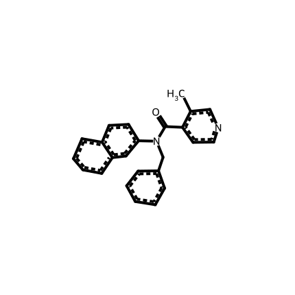 Cc1cnccc1C(=O)N(Cc1ccccc1)c1ccc2ccccc2c1